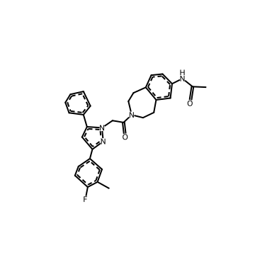 CC(=O)Nc1ccc2c(c1)CCN(C(=O)Cn1nc(-c3ccc(F)c(C)c3)cc1-c1ccccc1)CC2